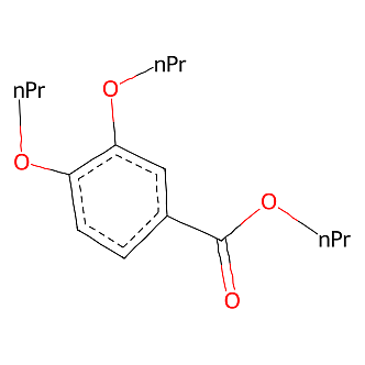 CCCOC(=O)c1ccc(OCCC)c(OCCC)c1